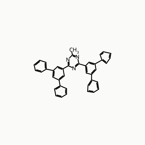 Cc1nc(-c2cc(-c3ccccc3)cc(-c3ccccc3)c2)nc(-c2cc(-c3ccccc3)cc(-c3ccccc3)c2)n1